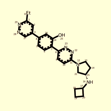 CCc1cc(-c2ccc(-c3ccc(N4CC[C@H](NC5CCC5)C4)nn3)c(O)c2)cnn1